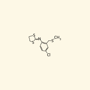 CSCc1cc(Cl)ccc1N=C1SCCS1